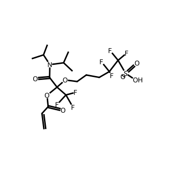 C=CC(=O)OC(OCCCC(F)(F)C(F)(F)S(=O)(=O)O)(C(=O)N(C(C)C)C(C)C)C(F)(F)F